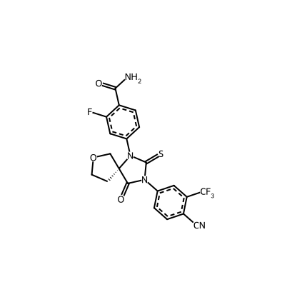 N#Cc1ccc(N2C(=O)[C@]3(CCOC3)N(c3ccc(C(N)=O)c(F)c3)C2=S)cc1C(F)(F)F